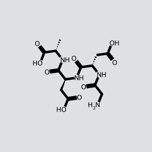 C[C@H](NC(=O)[C@H](CC(=O)O)NC(=O)[C@H](CC(=O)O)NC(=O)CN)C(=O)O